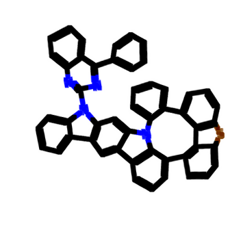 c1ccc(-c2nc(-n3c4ccccc4c4cc5c6cccc7c8cccc9sc%10cccc(c%11ccccc%11n(c5cc43)c76)c%10c98)nc3ccccc23)cc1